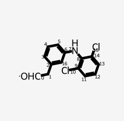 O=[C]Cc1cccc(Nc2c(Cl)cccc2Cl)c1